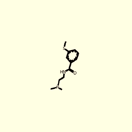 CSc1cccc(C(=O)NCCN(C)C)c1